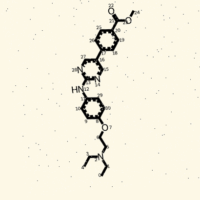 CCN(CC)CCOc1ccc(Nc2ncc(-c3ccc(C(=O)OC)cc3)cn2)cc1